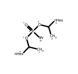 CCCCCCC(C)OP(=O)(OC(C)CCCCCC)C(C)C